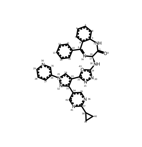 O=C1Nc2ccccc2C(c2ccccc2)=N[C@@H]1Nc1nnc(-c2cn(-c3cccnc3)nc2-c2cnc(C3CC3)nc2)o1